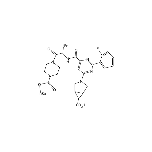 CCCCOC(=O)N1CCN(C(=O)[C@@H](NC(=O)c2cc(N3CC4C(C3)C4C(=O)O)nc(-c3ccccc3F)n2)C(C)C)CC1